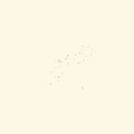 CC1(C)Cc2cc(NS(=O)(=O)c3ccc4ccccc4c3)cc(OCCCBr)c2O1